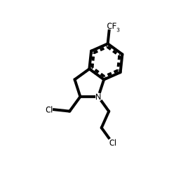 FC(F)(F)c1ccc2c(c1)CC(CCl)N2CCCl